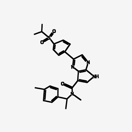 Cc1ccc(C(C)N(C)C(=O)c2c[nH]c3ncc(-c4ccc(S(=O)(=O)C(C)C)cc4)nc23)cc1